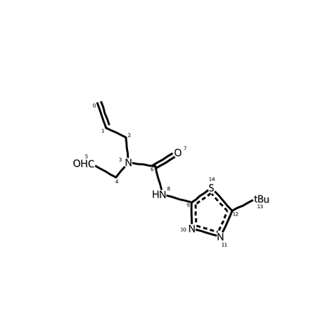 C=CCN(CC=O)C(=O)Nc1nnc(C(C)(C)C)s1